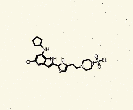 CCS(=O)(=O)N1CCN(CCC2=CSC(c3cc4cc(Cl)cc(NC5CCCC5)c4[nH]3)N2)CC1